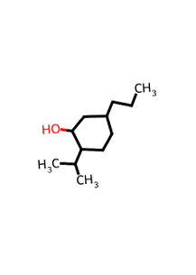 CCCC1CCC(C(C)C)C(O)C1